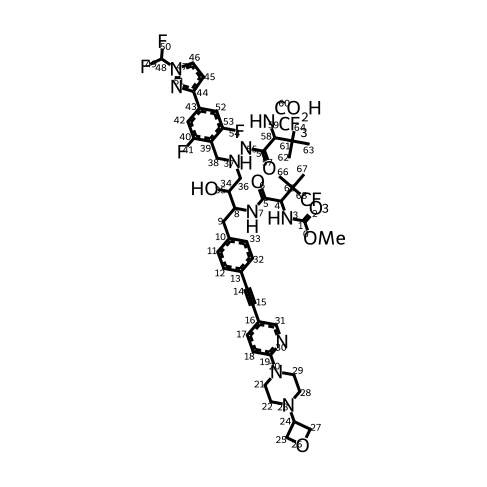 COC(=O)NC(C(=O)NC(Cc1ccc(C#Cc2ccc(N3CCN(C4COC4)CC3)nc2)cc1)C(O)CN(Cc1c(F)cc(-c2ccn(C(F)F)n2)cc1F)NC(=O)C(NC(=O)O)C(C)(C)C(F)(F)F)C(C)(C)C(F)(F)F